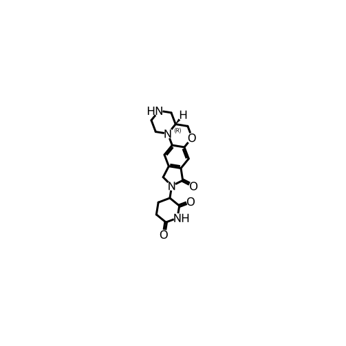 O=C1CCC(N2Cc3cc4c(cc3C2=O)OC[C@H]2CNCCN42)C(=O)N1